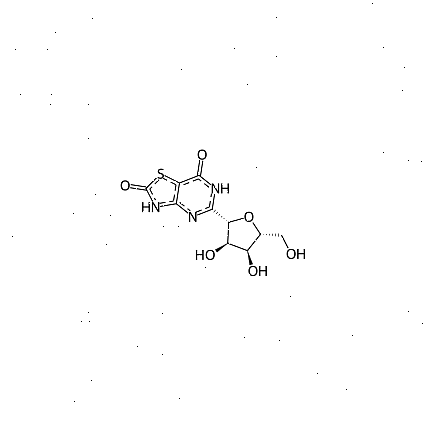 O=c1[nH]c2nc([C@@H]3O[C@H](CO)[C@@H](O)[C@H]3O)[nH]c(=O)c2s1